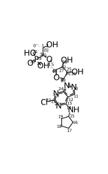 C[C@H](O)[C@@H](OC[C@H]1O[C@@H](n2ncc3c(NC4CCCC4)nc(Cl)nc32)[C@H](O)[C@@H]1O)P(=O)(O)O